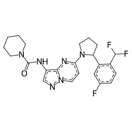 O=C(Nc1cnn2ccc(N3CCCC3c3cc(F)ccc3C(F)F)nc12)N1CCCCC1